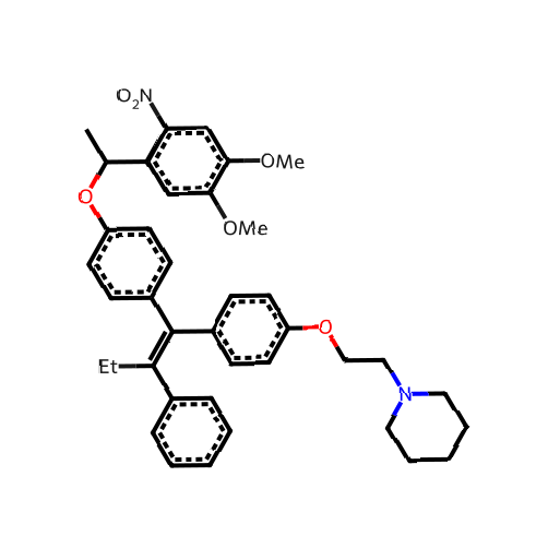 CC/C(=C(/c1ccc(OCCN2CCCCC2)cc1)c1ccc(OC(C)c2cc(OC)c(OC)cc2[N+](=O)[O-])cc1)c1ccccc1